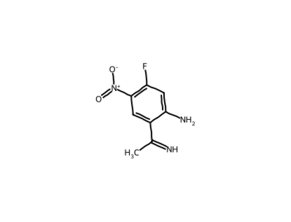 CC(=N)c1cc([N+](=O)[O-])c(F)cc1N